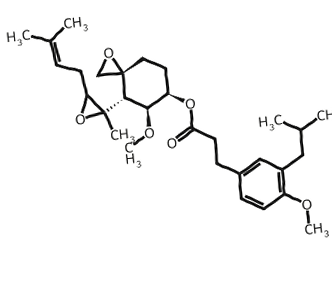 COc1ccc(CCC(=O)O[C@@H]2CC[C@]3(CO3)[C@@H](C3(C)OC3CC=C(C)C)[C@@H]2OC)cc1CC(C)C